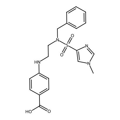 Cn1cnc(S(=O)(=O)N(CCNc2ccc(C(=O)O)cc2)Cc2ccccc2)c1